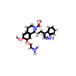 COc1cc2c(cc1OCCN(C)C)[C@@H](CCc1c[nH]c3ccccc13)N(C=O)CC2